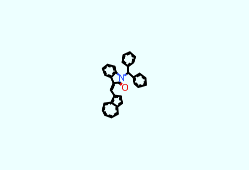 O=C1C(=Cc2ccc3cccccc2-3)c2ccccc2N1C(c1ccccc1)c1ccccc1